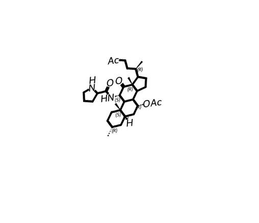 CC(=O)CC[C@@H](C)C1CCC2C3C([C@H](NC(=O)C4CCCN4)C(=O)[C@@]21C)[C@@]1(C)CC[C@@H](C)C[C@H]1C[C@H]3OC(C)=O